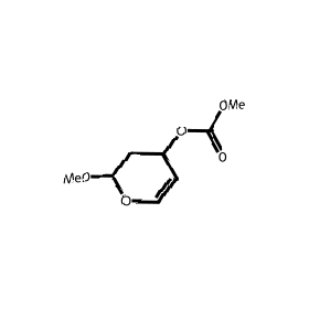 COC(=O)OC1C=COC(OC)C1